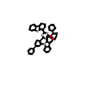 c1ccc(-c2ccc(-c3nc(-c4ccccc4-c4ccccc4)nc(-c4cccc5c4sc4ccccc45)n3)c(-n3c4ccccc4c4ccccc43)c2)cc1